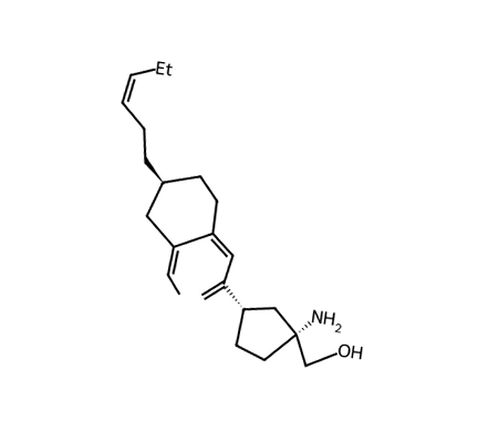 C=C(/C=C1/CC[C@H](CC/C=C\CC)C/C1=C/C)[C@H]1CC[C@](N)(CO)C1